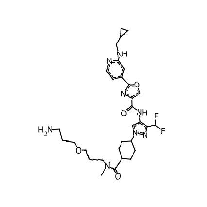 CN(CCCOCCCN)C(=O)C1CCC(n2cc(NC(=O)c3coc(-c4ccnc(NCC5CC5)c4)n3)c(C(F)F)n2)CC1